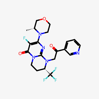 C[C@@H]1COCCN1c1nc2n(c(=O)c1F)CC[C@@H](C(F)(F)F)N2CC(=O)c1cccnc1